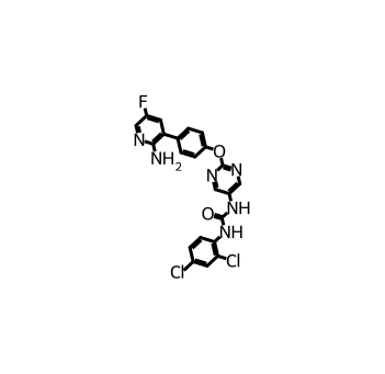 Nc1ncc(F)cc1-c1ccc(Oc2ncc(NC(=O)Nc3ccc(Cl)cc3Cl)cn2)cc1